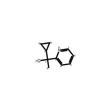 CC([O])(c1ccccn1)C1CC1